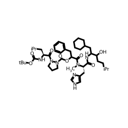 CC(C)CCC(O)C(CC1CCCCC1)NC(=O)[C@H](Cc1c[nH]cn1)N(C)C(=O)C(Cc1ccccc1)OC(=O)N1CCCN1C(=O)[C@H](CC(C)C)NC(=O)OC(C)(C)C